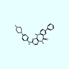 CN1CCN(c2ccc(Nc3ncc4c(n3)N(C)c3ccc(-c5ccccc5)cc3C(=O)N4C)cc2)CC1